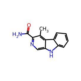 Cc1c(C(N)=O)ncc2[nH]c3ccccc3c12